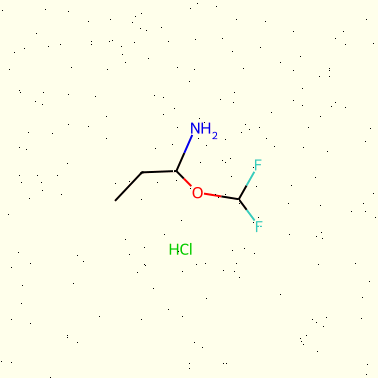 CCC(N)OC(F)F.Cl